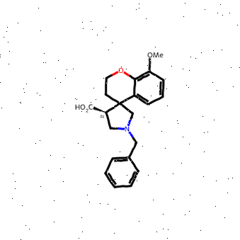 COc1cccc2c1OCCC21CN(Cc2ccccc2)C[C@H]1C(=O)O